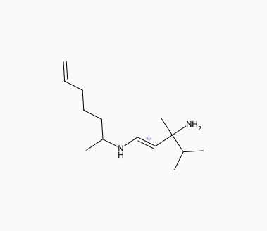 C=CCCCC(C)N/C=C/C(C)(N)C(C)C